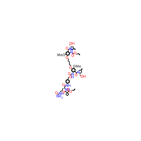 C=CCOC(=O)Nc1cc(OCCCCCOc2cc(NC(=O)OCc3ccc(NC(=O)[C@H](CCCNC(N)=O)NC(=O)C4(C(=O)OCC=C)CCC4)cc3)c(C(=O)N3CC(=C)C[C@H]3CO)cc2OC)c(OC)cc1C(=O)N1CC(=C)C[C@H]1CO